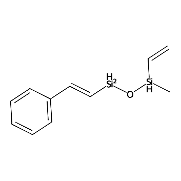 C=C[SiH](C)O[SiH2]C=Cc1ccccc1